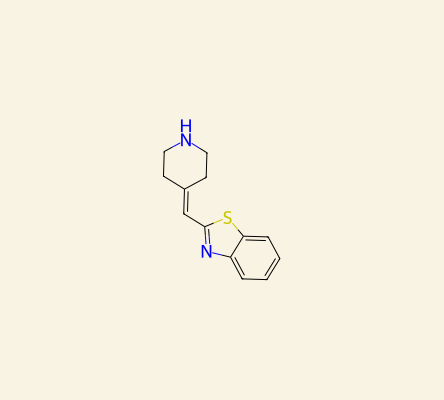 C(=C1CCNCC1)c1nc2ccccc2s1